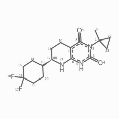 CC1(n2c(=O)[nH]c3c(c2=O)CC[C@H](C2CCC(F)(F)CC2)N3)CC1